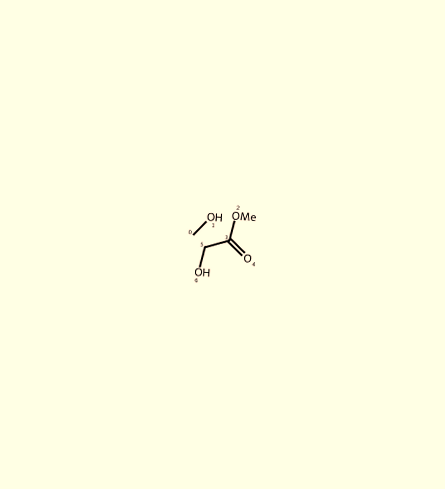 CO.COC(=O)CO